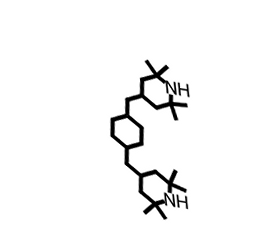 CC1(C)CC(CC2CCC(CC3CC(C)(C)NC(C)(C)C3)CC2)CC(C)(C)N1